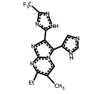 CCc1nc2nc(-c3nc(C(F)(F)F)n[nH]3)c(-c3cnc[nH]3)n2cc1C